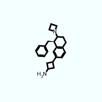 NC1CC(c2ccc3c(c2)[C@@H](Cc2ccccc2)C(N2CCC2)CC3)C1